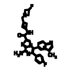 Cc1cnc2ccc(-c3c(-c4ccc(F)cc4)nc(N)c4nc(C(=O)NC56CC(CN7CC(F)C7)(C5)C6)cn34)cn12